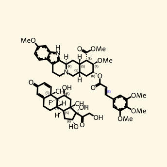 COC(=O)[C@H]1[C@H]2C[C@@H]3c4[nH]c5cc(OC)ccc5c4CCN3C[C@H]2C[C@@H](OC(=O)/C=C/c2cc(OC)c(OC)c(OC)c2)[C@@H]1OC.C[C@]12C=CC(=O)C=C1CC[C@H]1[C@@H]3C[C@@H](O)[C@](O)(C(=O)CO)[C@@]3(C)C[C@H](O)[C@@]12F